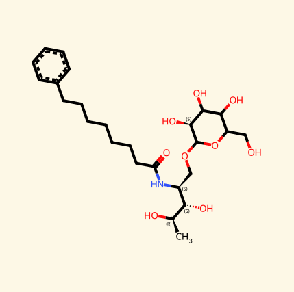 C[C@@H](O)[C@@H](O)[C@H](COC1OC(CO)C(O)C(O)[C@@H]1O)NC(=O)CCCCCCCc1ccccc1